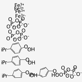 CC(C)c1ccc(OO)cc1.CC(C)c1ccc(OO)cc1.CC(C)c1ccc(OO)cc1.CC(C)c1ccc(OO)cc1.O=P([O-])([O-])OP(=O)([O-])[O-].O=P([O-])([O-])OP(=O)([O-])[O-].O=P([O-])([O-])OP(=O)([O-])[O-].[Fe+3].[Fe+3].[Fe+3].[Fe+3]